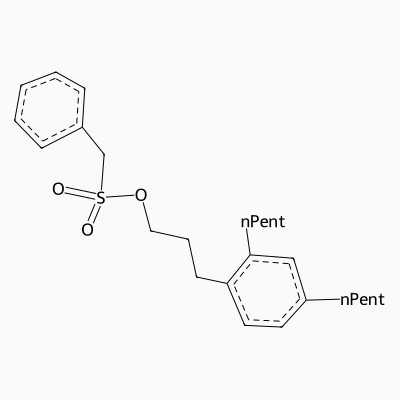 CCCCCc1ccc(CCCOS(=O)(=O)Cc2ccccc2)c(CCCCC)c1